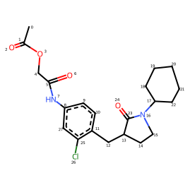 CC(=O)OCC(=O)Nc1ccc(CC2CCN(C3CCCCC3)C2=O)c(Cl)c1